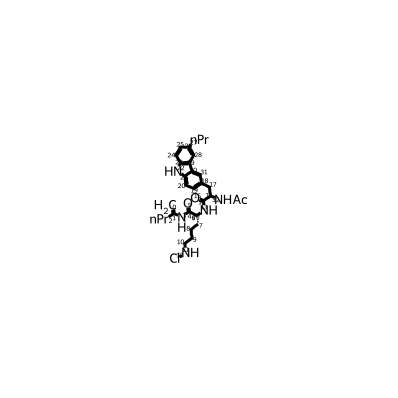 C=C(CCC)NC(=O)[C@@H](CCCCNCl)NC(=O)C(Cc1ccc2[nH]c3ccc(CCC)cc3c2c1)NC(C)=O